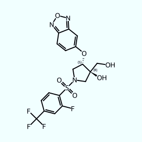 O=S(=O)(c1ccc(C(F)(F)F)cc1F)N1C[C@H](Oc2ccc3nonc3c2)[C@](O)(CO)C1